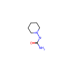 NC(=O)[N]N1CCCCC1